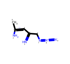 C/C(N)=C/C(=N)CN=[N+]=[N-]